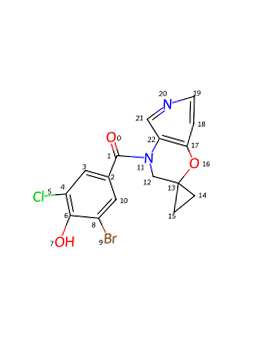 O=C(c1cc(Cl)c(O)c(Br)c1)N1CC2(CC2)Oc2ccncc21